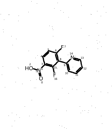 O=[N+](O)c1ccc(F)c(-c2ccccn2)c1F